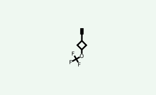 C#CC1CC(OC(F)(F)F)C1